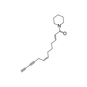 C#CC#CC/C=C\CCC/C=C/C(=O)N1CCCCC1